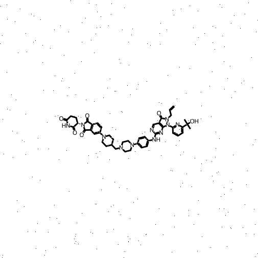 C=CCn1c(=O)c2cnc(Nc3ccc(N4CCN(CC5CCN(c6ccc7c(c6)C(=O)N([C@H]6CCC(=O)NC6=O)C7=O)CC5)CC4)cc3)nc2n1-c1cccc(C(C)(C)O)n1